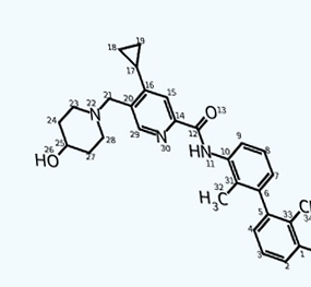 CNc1cccc(-c2cccc(NC(=O)c3cc(C4CC4)c(CN4CCC(O)CC4)cn3)c2C)c1C